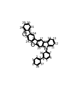 c1ccc(-c2cccc(-n3c4ccccc4c4cc5c(cc43)oc3cc4oc6ccccc6c4cc35)c2)cc1